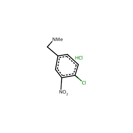 CNCc1ccc(Cl)c([N+](=O)[O-])c1.Cl